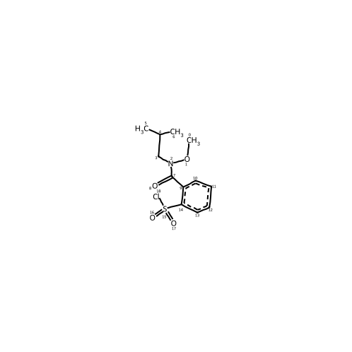 CON(CC(C)C)C(=O)c1ccccc1S(=O)(=O)Cl